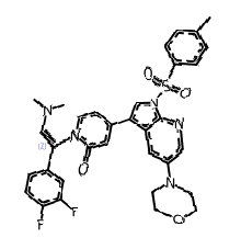 Cc1ccc(S(=O)(=O)n2cc(-c3ccn(/C(=C\N(C)C)c4ccc(F)c(F)c4)c(=O)c3)c3cc(N4CCOCC4)cnc32)cc1